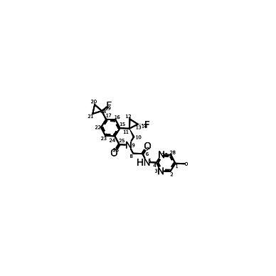 Cc1cnc(NC(=O)CN2C[C@]3(C[C@@H]3F)c3cc(C4(F)CC4)ccc3C2=O)nc1